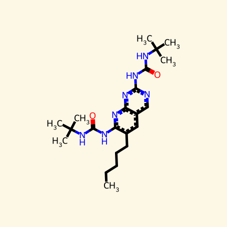 CCCCCc1cc2cnc(NC(=O)NC(C)(C)C)nc2nc1NC(=O)NC(C)(C)C